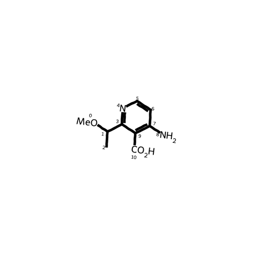 COC(C)c1nccc(N)c1C(=O)O